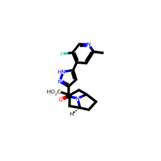 Cc1cc(-c2cc(C(=O)N3C4CC[C@H]3CC(C(=O)O)C4)n[nH]2)c(F)cn1